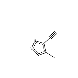 C#Cc1nscc1C